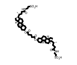 C[C@H](CCC(=O)NCCS(=O)(=O)O)[C@H]1CC[C@@H]2C3CCC4C[C@@H](OC(=O)CCCC(=O)O[C@H]5CC[C@@]6(C)C(CCC7[C@H]8CC[C@H]([C@H](C)CCC(=O)NCCS(=O)(=O)O)[C@@]8(C)CC[C@H]76)C5)CC[C@]4(C)[C@@H]3CC[C@@]21C